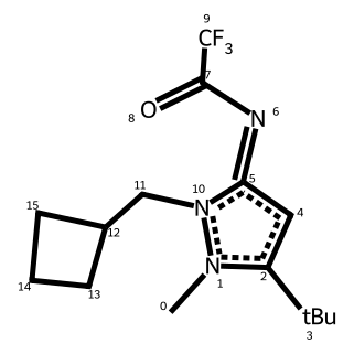 Cn1c(C(C)(C)C)c/c(=N/C(=O)C(F)(F)F)n1CC1CCC1